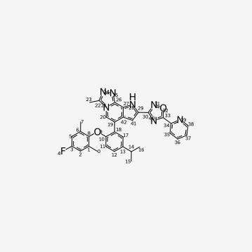 Cc1cc(F)cc(C)c1Oc1ccc(C(C)C)cc1-c1cn2c(C)nnc2c2[nH]c(-c3noc(-c4ccccn4)n3)cc12